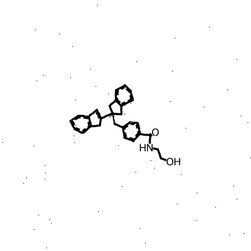 O=C(NCCO)c1ccc(C[C@]2(C3=Cc4ccccc4C3)[CH]c3ccccc3C2)cc1